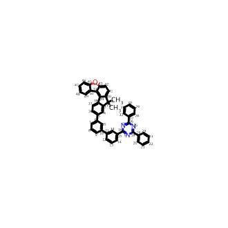 CC1(C)c2cc(-c3cccc(-c4cccc(-c5nc(-c6ccccc6)nc(-c6ccccc6)n5)c4)c3)ccc2-c2c1ccc1oc3ccccc3c21